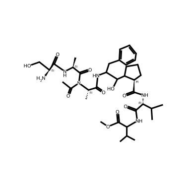 COC(=O)C(NC(=O)[C@H](NC(=O)[C@@H]1CCCC1C(O)C(Cc1ccccc1)NC(=O)[C@H](C)N(C(C)=O)C(=O)[C@H](C)NC(=O)[C@@H](N)CO)C(C)C)C(C)C